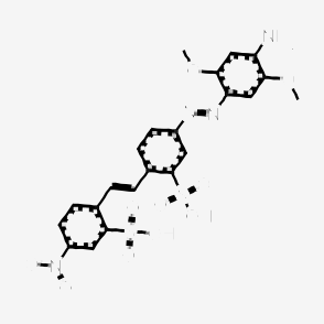 COc1cc(N=Nc2ccc(C=Cc3ccc([N+](=O)[O-])cc3S(=O)(=O)O)c(S(=O)(=O)O)c2)c(OC)cc1N